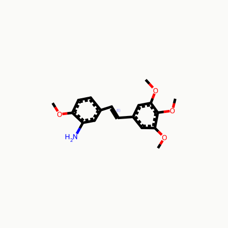 COc1ccc(/C=C/c2cc(OC)c(OC)c(OC)c2)cc1N